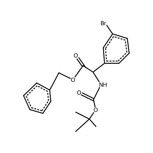 CC(C)(C)OC(=O)NC(C(=O)OCc1ccccc1)c1cccc(Br)c1